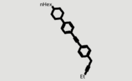 CCC#CCc1ccc(C#Cc2ccc(C3CCC(CCCCCC)CC3)cc2)cc1